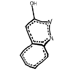 Oc1[c]c2ccccc2nn1